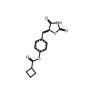 O=C1NC(=O)C(=Cc2ccc(OC(=O)C3CCC3)cc2)S1